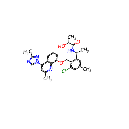 Cc1cc(Cl)c(COc2cccc3c(-n4cnc(C)n4)cc(C)nc23)c([C@H](C)NC(=O)[C@@H](C)O)c1